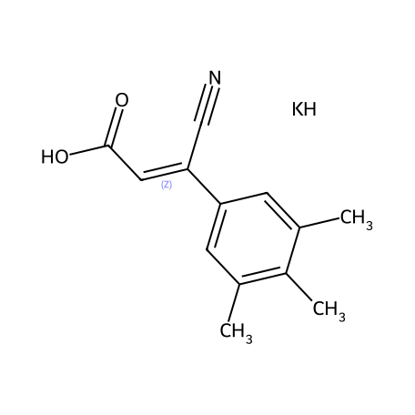 Cc1cc(/C(C#N)=C/C(=O)O)cc(C)c1C.[KH]